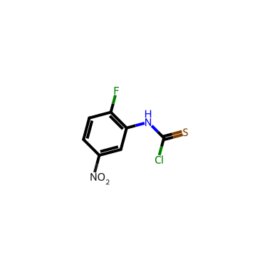 O=[N+]([O-])c1ccc(F)c(NC(=S)Cl)c1